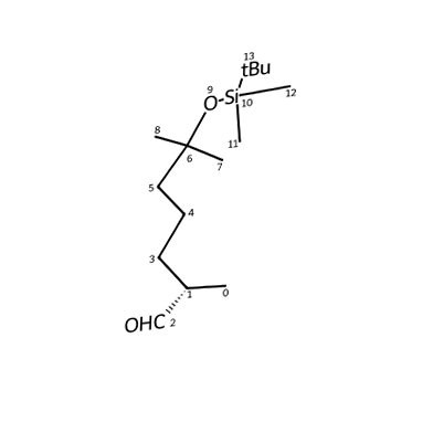 C[C@H](C=O)CCCC(C)(C)O[Si](C)(C)C(C)(C)C